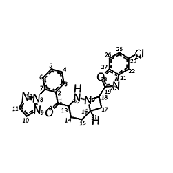 O=C(c1ccccc1-n1nccn1)C1CC[C@H]2CC(c3nc4cc(Cl)ccc4o3)N2N1